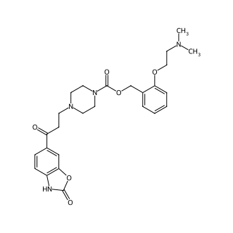 CN(C)CCOc1ccccc1COC(=O)N1CCN(CCC(=O)c2ccc3[nH]c(=O)oc3c2)CC1